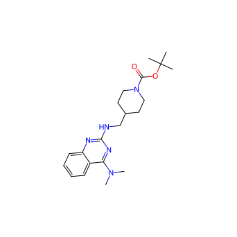 CN(C)c1nc(NCC2CCN(C(=O)OC(C)(C)C)CC2)nc2ccccc12